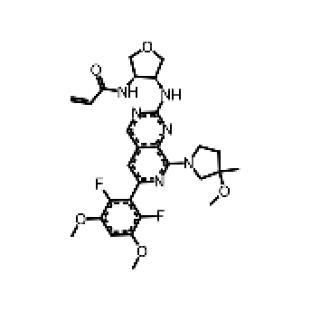 C=CC(=O)N[C@H]1COC[C@H]1Nc1ncc2cc(-c3c(F)c(OC)cc(OC)c3F)nc(N3CCC(C)(OC)C3)c2n1